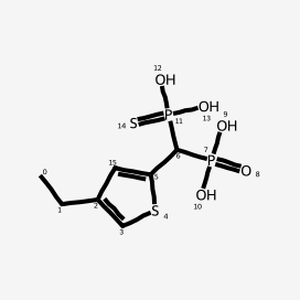 CCc1csc(C(P(=O)(O)O)P(O)(O)=S)c1